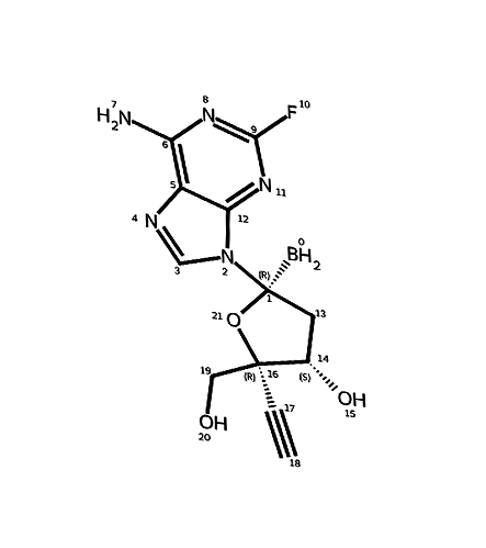 B[C@]1(n2cnc3c(N)nc(F)nc32)C[C@H](O)[C@@](C#C)(CO)O1